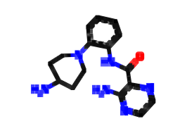 Nc1nccnc1C(=O)Nc1ccccc1N1CCC(N)CC1